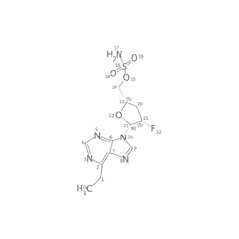 CCc1ncnc2c1ncn2[C@@H]1O[C@H](COS(N)(=O)=O)C[C@@H]1F